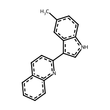 Cc1ccc2[nH]cc(-c3ccc4ccccc4n3)c2c1